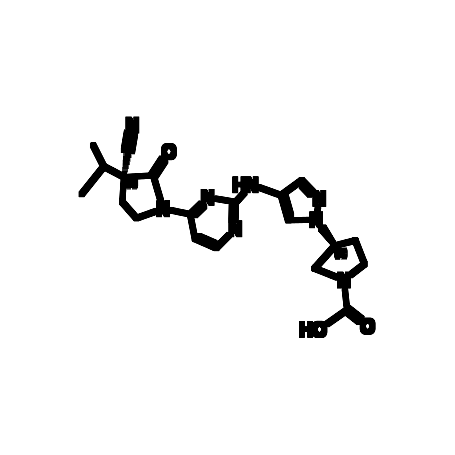 CC(C)[C@]1(C#N)CCN(c2ccnc(Nc3cnn([C@H]4CCN(C(=O)O)C4)c3)n2)C1=O